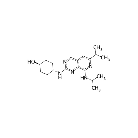 CC(C)Nc1nc(C(C)C)cc2cnc(N[C@H]3CC[C@H](O)CC3)nc12